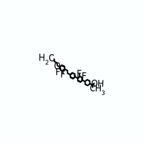 C=CCCOc1ccc(CCc2ccc(-c3ccc(C4CCC(C(C)O)CC4)c(F)c3F)cc2)c(F)c1F